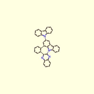 c1ccc2c(c1)-c1nc3ccccc3nc1-n1c3ccccc3c3cc(-n4c5ccccc5c5ccccc54)cc-2c31